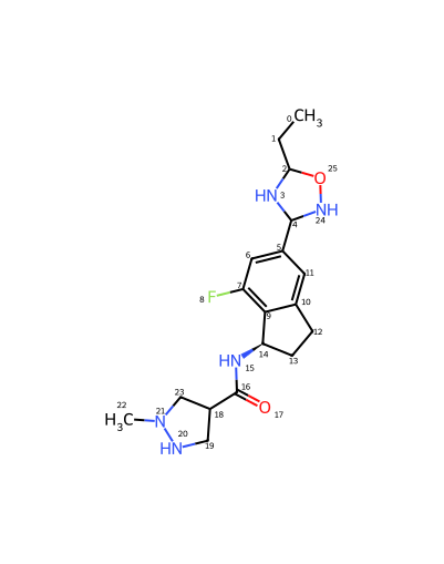 CCC1NC(c2cc(F)c3c(c2)CC[C@H]3NC(=O)C2CNN(C)C2)NO1